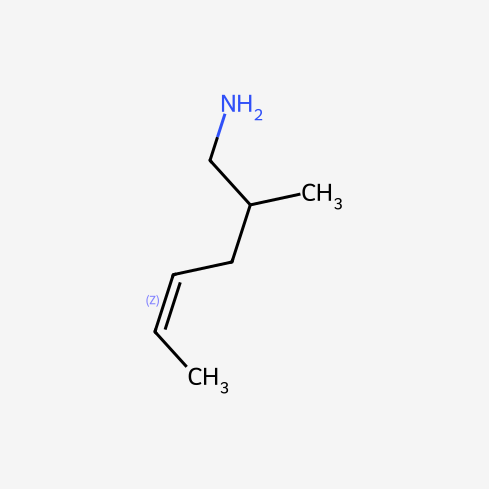 C/C=C\CC(C)CN